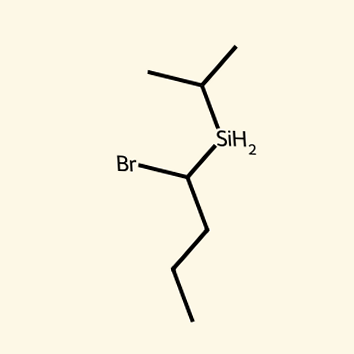 CCCC(Br)[SiH2]C(C)C